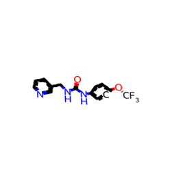 O=C(NCc1cccnc1)Nc1ccc(OC(F)(F)F)cc1